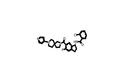 O=C(N[C@@H]1CCc2cc(F)c(C(=O)N3CCC4(CCN(c5ccncc5)CC4)C3)cc21)c1ccccc1Cl